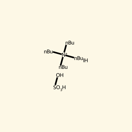 CCCC[N+](CCCC)(CCCC)CCCC.I.O=S(=O)(O)O